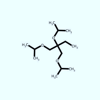 CCC(COC(C)C)(COC(C)C)OC(C)C